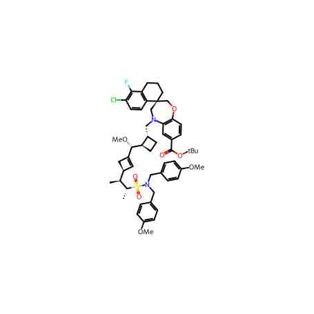 COc1ccc(CN(Cc2ccc(OC)cc2)S(=O)(=O)[C@H](C)[C@@H](C)[C@@H]2C=C([C@H](OC)[C@@H]3CC[C@H]3CN3C[C@@]4(CCCc5c4ccc(Cl)c5F)COc4ccc(C(=O)OC(C)(C)C)cc43)C2)cc1